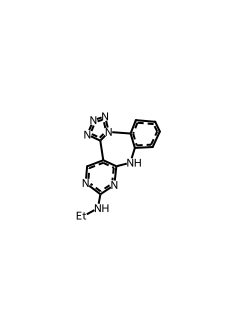 CCNc1ncc2c(n1)Nc1ccccc1-n1nnnc1-2